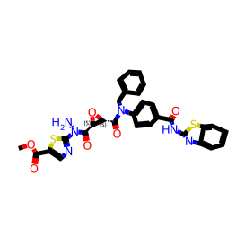 COC(=O)c1cnc(N(N)C(=O)[C@H]2O[C@@H]2C(=O)N(Cc2ccccc2)c2ccc(C(=O)Nc3nc4ccccc4s3)cc2)s1